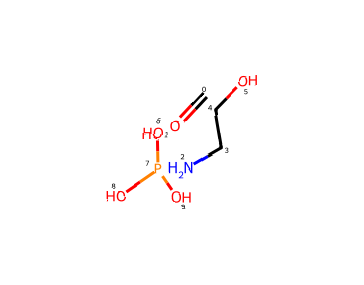 C=O.NCCO.OP(O)O